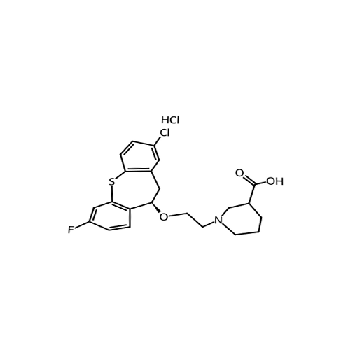 Cl.O=C(O)C1CCCN(CCO[C@@H]2Cc3cc(Cl)ccc3Sc3cc(F)ccc32)C1